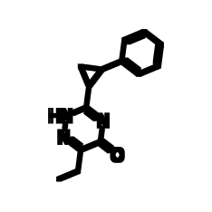 CCc1n[nH]c(C2CC2c2ccccc2)nc1=O